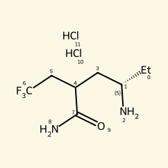 CC[C@H](N)CC(CC(F)(F)F)C(N)=O.Cl.Cl